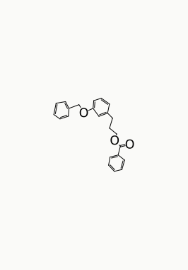 O=C(OCCCc1cccc(OCc2ccccc2)c1)c1ccccc1